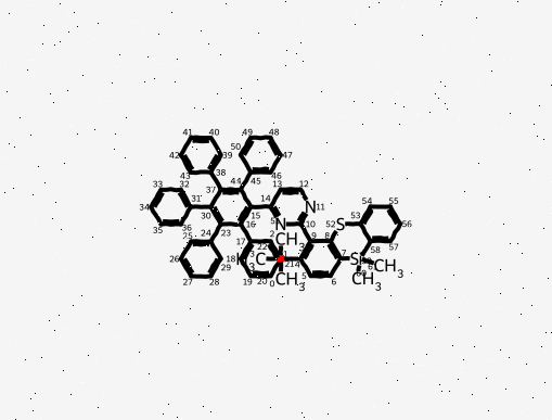 CC(C)(C)c1ccc2c(c1-c1nccc(-c3c(-c4ccccc4)c(-c4ccccc4)c(-c4ccccc4)c(-c4ccccc4)c3-c3ccccc3)n1)Sc1ccccc1[Si]2(C)C